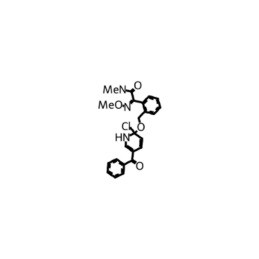 CNC(=O)/C(=N\OC)c1ccccc1COC1(Cl)C=CC(C(=O)c2ccccc2)=CN1